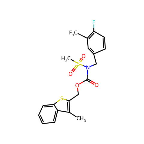 Cc1c(COC(=O)N(Cc2ccc(F)c(C(F)(F)F)c2)S(C)(=O)=O)sc2ccccc12